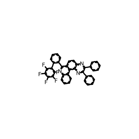 Fc1c(F)c(F)c(-c2ccccc2-c2nc3ccccc3c3c2ccc2nc(-c4ccccc4)c(-c4ccccc4)nc23)c(F)c1F